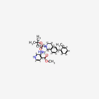 COC(=O)c1ccncc1NC[C@H]1c2ccc(-c3ccccc3C)cc2CCN1C(=O)OC(C)(C)C